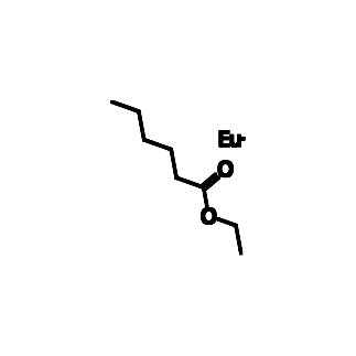 CCCCCC(=O)OCC.[Eu]